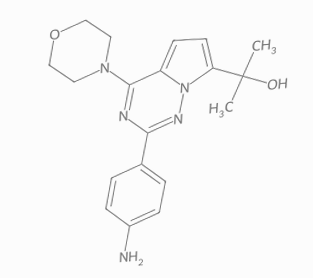 CC(C)(O)c1ccc2c(N3CCOCC3)nc(-c3ccc(N)cc3)nn12